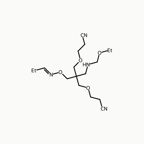 CC/C=N/OCC(CNCOCC)(COCCC#N)COCCC#N